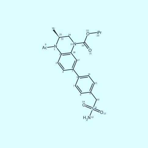 CC(=O)N1c2ccc(-c3ccc(CS(N)(=O)=O)cc3)cc2N(C(=O)OC(C)C)C[C@@H]1C